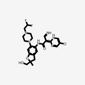 CC1(CO)Cc2cc(NC(=O)/C(C=N)=C3\N=CC(Cl)=CN3)c(N3CCN(CC(F)F)CC3)cc2O1